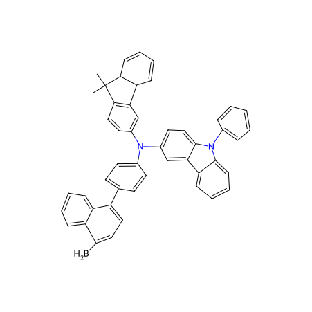 Bc1ccc(-c2ccc(N(c3ccc4c(c3)C3C=CC=CC3C4(C)C)c3ccc4c(c3)c3ccccc3n4-c3ccccc3)cc2)c2ccccc12